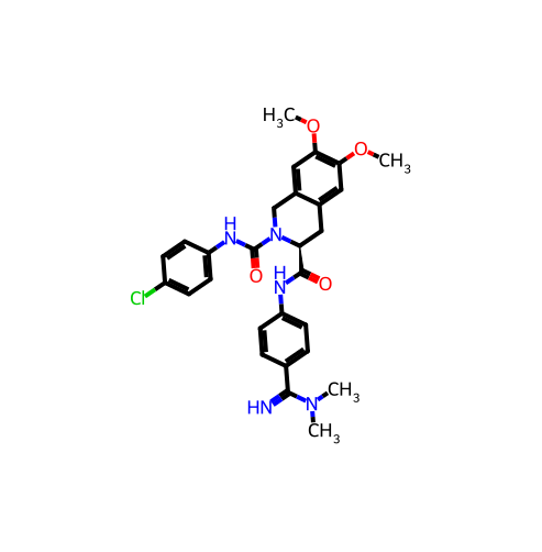 COc1cc2c(cc1OC)CN(C(=O)Nc1ccc(Cl)cc1)[C@H](C(=O)Nc1ccc(C(=N)N(C)C)cc1)C2